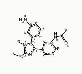 CSc1nc(-c2ccnc(NC(C)=O)c2)c(-c2cccc(N)c2)n1C